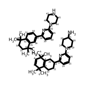 CC1(C)C=CC(C)(C)C2=C1CCC(c1cccc(N3CCC(N)CC3)n1)C2.CC1(C)CCC(C)(C)c2cc(-c3cccc(N4CCNCC4)n3)ccc21